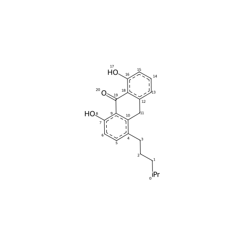 CC(C)CCCc1ccc(O)c2c1Cc1cccc(O)c1C2=O